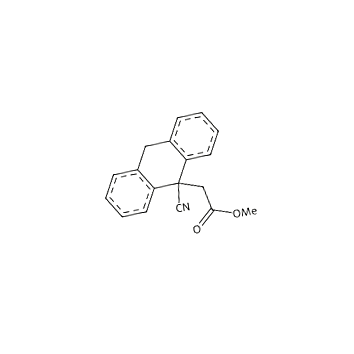 COC(=O)CC1(C#N)c2ccccc2Cc2ccccc21